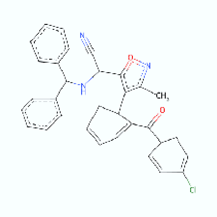 Cc1noc(C(C#N)NC(c2ccccc2)c2ccccc2)c1C1CC=CC=C1C(=O)C1C=CC(Cl)=CC1